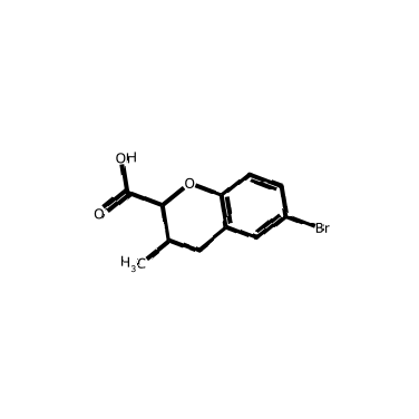 CC1Cc2cc(Br)ccc2OC1C(=O)O